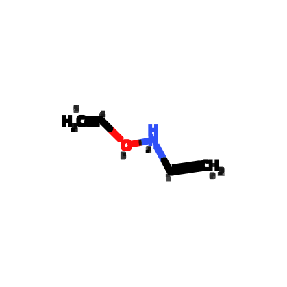 C=CNOC=C